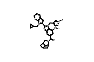 CCn1cc(Cn2c(-c3cc4cccnc4n3CC3CC3)nc3cc(C(=O)N4CC5CC6CC4[C@H]65)cc(OC)c32)cn1